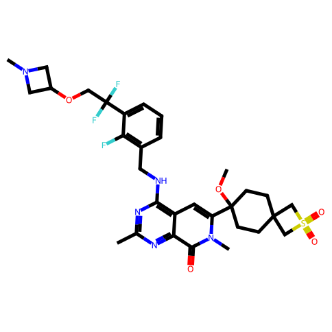 COC1(c2cc3c(NCc4cccc(C(F)(F)COC5CN(C)C5)c4F)nc(C)nc3c(=O)n2C)CCC2(CC1)CS(=O)(=O)C2